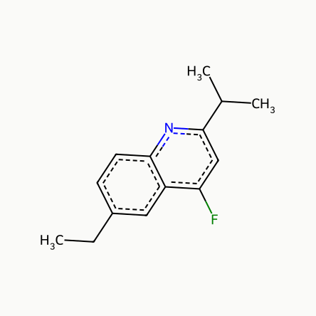 CCc1ccc2nc(C(C)C)cc(F)c2c1